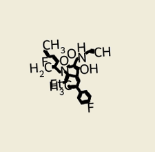 C#CCNC(=O)c1c(O)c(=C/C(=C\C)c2ccc(F)cc2)/c(=C/CC)n(CC(=C)/C=C\C(F)=C/C)c1=O